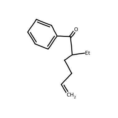 C=CCCC(CC)C(=O)c1ccccc1